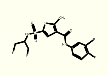 Cc1sc(S(=O)(=O)NC(CF)CF)cc1C(=O)Nc1ccc(F)c(F)c1